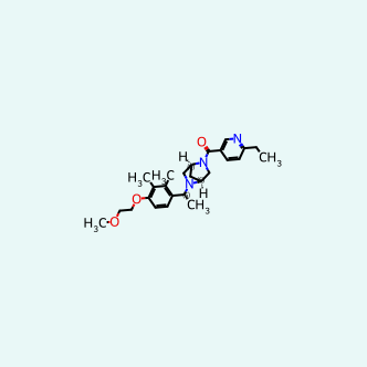 CCc1ccc(C(=O)N2C[C@@H]3C[C@H]2CN3[C@@H](C)c2ccc(OCCOC)c(C)c2C)cn1